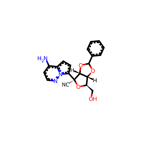 N#C[C@@]1(c2ccc3c(N)ccnn23)O[C@H](CO)[C@H]2OC(c3ccccc3)O[C@H]21